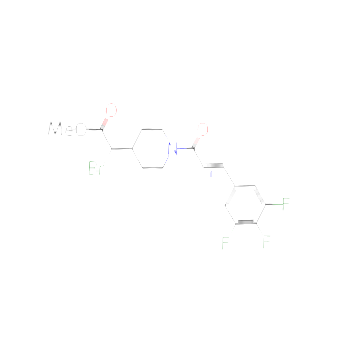 COC(=O)C(Br)C1CCN(C(=O)/C=C/c2cc(F)c(F)c(F)c2)CC1